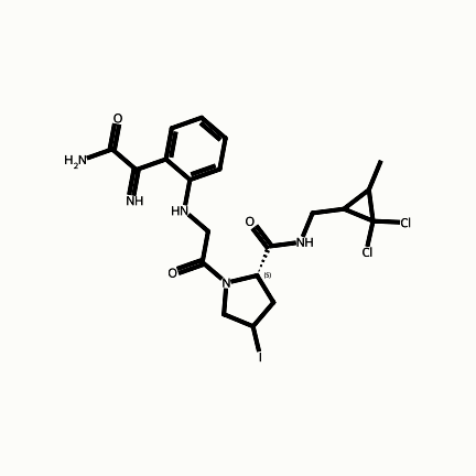 CC1C(CNC(=O)[C@@H]2CC(I)CN2C(=O)CNc2ccccc2C(=N)C(N)=O)C1(Cl)Cl